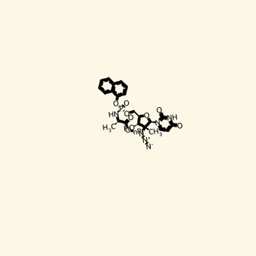 CCCOC(=O)[C@H](C)N[P@@](=O)(OC[C@H]1O[C@@H](n2ccc(=O)[nH]c2=O)[C@](C)(N=[N+]=[N-])[C@@H]1O)Oc1cccc2ccccc12